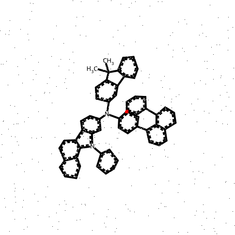 CC1(C)c2ccccc2-c2cc(N(c3ccc(-c4cccc5cccc(-c6ccccc6)c45)cc3)c3ccc4c5ccc6ccccc6c5n(-c5ccccc5)c4c3)ccc21